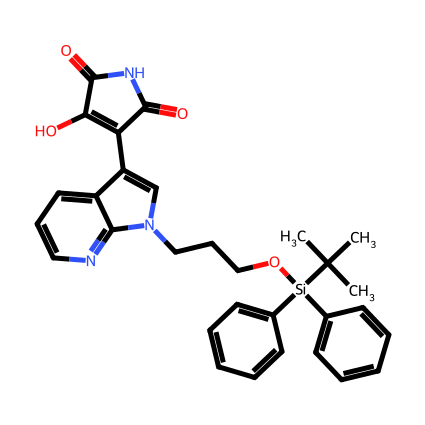 CC(C)(C)[Si](OCCCn1cc(C2=C(O)C(=O)NC2=O)c2cccnc21)(c1ccccc1)c1ccccc1